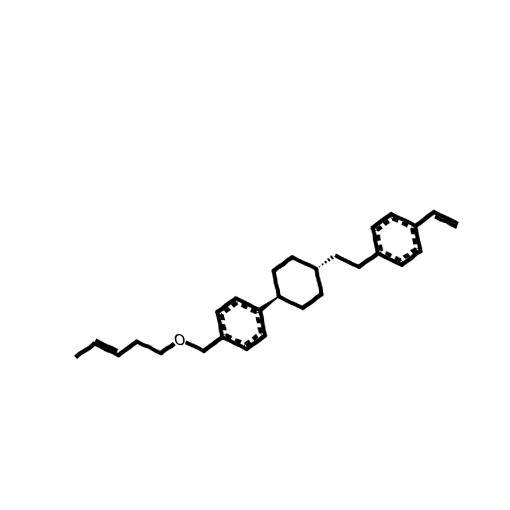 C=Cc1ccc(CC[C@H]2CC[C@H](c3ccc(COCCC=CC)cc3)CC2)cc1